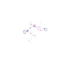 N=C(N)NCCC[C@@H]1NC(=O)[C@H](Cc2c[nH]c3ccccc23)NC(=O)[C@@H](CC2CCCCC2)NC(=O)[C@@H]2CCCN2C(=O)[C@@H](NC(=O)[C@H](Cc2ccccc2)NC(=O)CCC(=O)O)CCCNC1=O